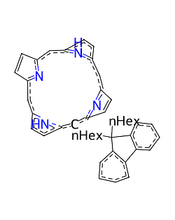 C1=Cc2cc3ccc(cc4nc(cc5ccc(cc1n2)[nH]5)C=C4)[nH]3.CCCCCCC1(CCCCCC)c2ccccc2-c2ccccc21